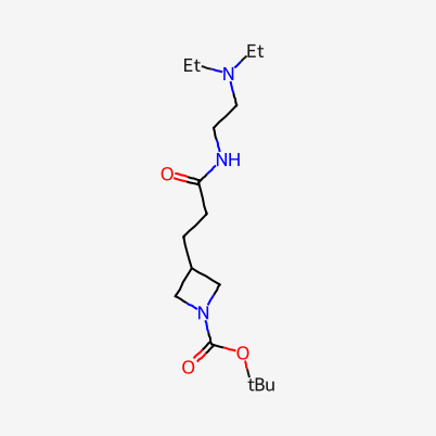 CCN(CC)CCNC(=O)CCC1CN(C(=O)OC(C)(C)C)C1